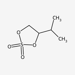 CC(C)C1COS(=O)(=O)O1